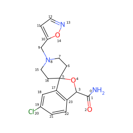 NC(=O)C1OC2(CCN(Cc3ccno3)CC2)c2cc(Cl)ccc21